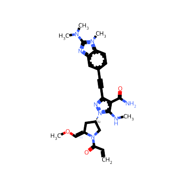 C=CC(=O)N1C[C@@H](n2nc(C#Cc3ccc4c(c3)nc(N(C)C)n4C)c(C(N)=O)c2NC)C/C1=C\OC